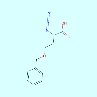 [N-]=[N+]=NC(CCOCc1ccccc1)C(=O)O